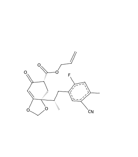 C=CCOC(=O)[C@@H]1C[C@]2([C@@H](C)Cc3cc(C#N)c(C)cc3F)OCOC2=CC1=O